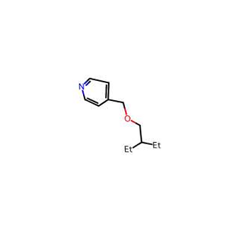 CCC(CC)COCc1ccncc1